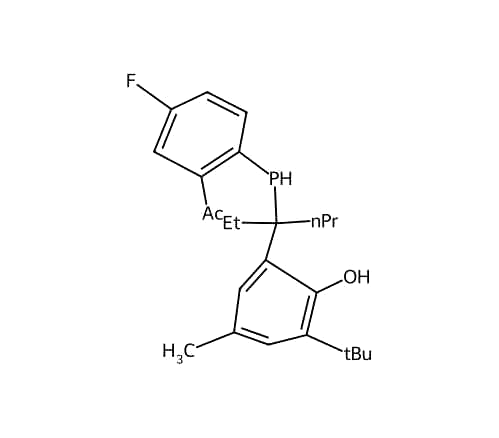 CCCC(CC)(Pc1ccc(F)cc1C(C)=O)c1cc(C)cc(C(C)(C)C)c1O